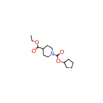 CCOC(=O)C1CCN(C(=O)OC2CCCC2)CC1